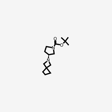 CC(C)(C)OC(=O)N1CC[C@H](N2CC3(CCC3)C2)C1